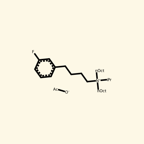 CC(=O)[O-].CCCCCCCC[N+](CCCCCCCC)(CCCCc1cccc(F)c1)C(C)C